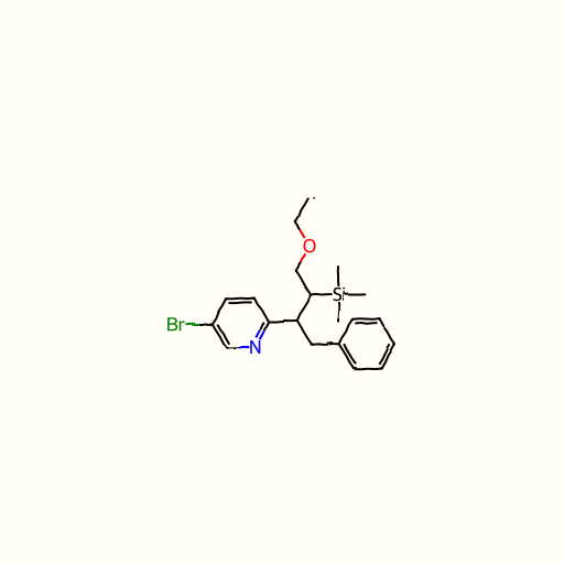 [CH2]COCC(C(Cc1ccccc1)c1ccc(Br)cn1)[Si](C)(C)C